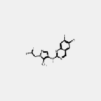 Cc1c(Nc2ncc3cc(Cl)c(I)cc3n2)cnn1CC(F)F